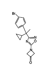 CC(c1ccc(Br)cc1)(c1noc(N2CC(=O)C2)n1)C1CC1